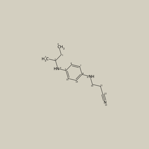 CCC(C)Nc1ccc(NCCC#N)cc1